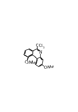 COc1ccc2c(c1)nc(C(Cl)(Cl)Cl)c1cccc(OC)c12